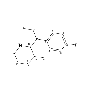 CCC(c1ccc(F)cc1)C1[N]CCNC1C